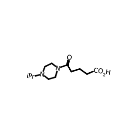 CC(C)N1CCN(C(=O)CCCC(=O)O)CC1